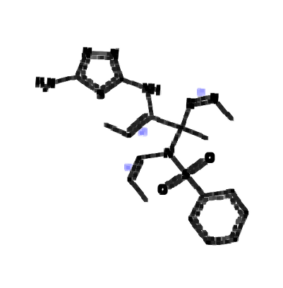 C/C=C\N(C(C)(/N=N\C)/C(=C/C)Nc1nnc(N)s1)S(=O)(=O)c1ccccc1